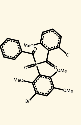 COc1cc(Br)c(OC)c(P(=O)(C(=O)c2ccccc2)C(=O)c2c(Cl)cccc2OC)c1OC